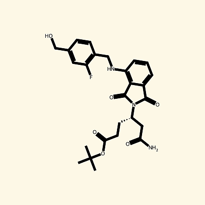 CC(C)(C)OC(=O)CC[C@@H](CC(N)=O)N1C(=O)c2cccc(NCc3ccc(CO)cc3F)c2C1=O